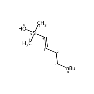 CCCCCCC=C[Si](C)(C)O